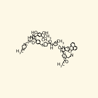 C=CC(=O)N1CCN(c2nc(OC[C@@H]3C[C@@H](NC(=O)C4CCN(Cc5ccc(-n6c(C(=O)NCCN7CCN(C)CC7)nnc6-c6cc(C(C)C)c(O)cc6O)cc5)CC4)CN3C)nc3c2CCN(c2cccc4cccc(Cl)c24)C3)CC1CC#N